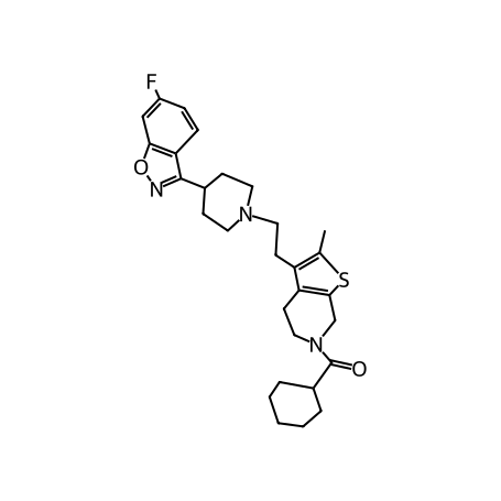 Cc1sc2c(c1CCN1CCC(c3noc4cc(F)ccc34)CC1)CCN(C(=O)C1CCCCC1)C2